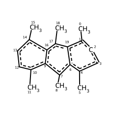 Cc1ccc(C)c2c(C)c3c(C)ccc(C)c3c(C)c12